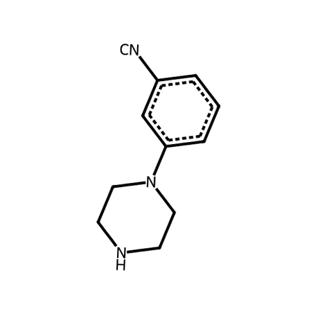 [C-]#[N+]c1cccc(N2CCNCC2)c1